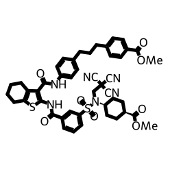 COC(=O)c1ccc(CCCc2ccc(NC(=O)c3c(NC(=O)c4cccc(S(=O)(=O)N(CC(C#N)(C#N)C#N)[C@H]5CC[C@H](C(=O)OC)CC5)c4)sc4c3CCCC4)cc2)cc1